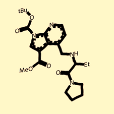 CCC(NCc1ccnc2c1c(C(=O)OC)cn2C(=O)OC(C)(C)C)C(=O)N1CCCC1